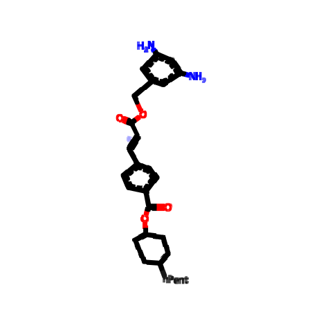 CCCCCC1CCC(OC(=O)c2ccc(/C=C/C(=O)OCc3cc(N)cc(N)c3)cc2)CC1